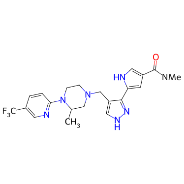 CNC(=O)c1c[nH]c(-c2n[nH]cc2CN2CCN(c3ccc(C(F)(F)F)cn3)C(C)C2)c1